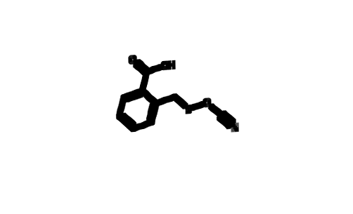 N#COSCc1ccccc1C(=O)O